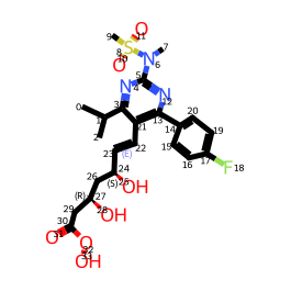 CC(C)c1nc(N(C)S(C)(=O)=O)nc(-c2ccc(F)cc2)c1/C=C/[C@@H](O)C[C@@H](O)CC(=O)OO